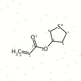 C=CC(=O)OC1CCSC1